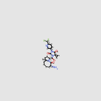 N[C@H]1CCCC[C@H]2CC[C@@H](C(=O)N3C(=O)N(c4ccc(C(F)F)nc4)C(=O)C34CC4)N2C1=O